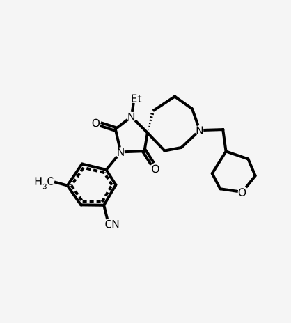 CCN1C(=O)N(c2cc(C)cc(C#N)c2)C(=O)[C@@]12CCCN(CC1CCOCC1)CC2